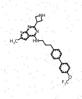 Cc1cc2c(NCCCc3ccc(-c4ccc(OC(F)(F)F)cc4)cc3)nc(C3CNC3)nc2s1